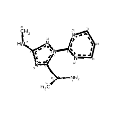 CNc1nc([C@H](C)N)n(-c2ncccn2)n1